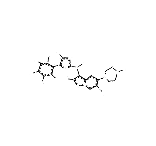 CCc1nn2cc(F)c(N3CCB(C#N)CC3)cc2c1N(C)c1nc(-c2c(O)c(O)c(F)c(O)c2O)c(C#N)s1